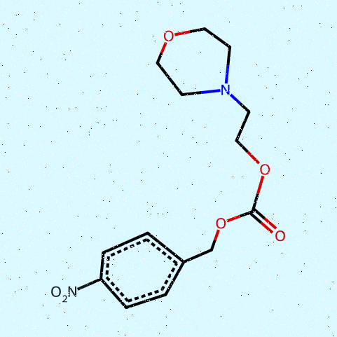 O=C(OCCN1CCOCC1)OCc1ccc([N+](=O)[O-])cc1